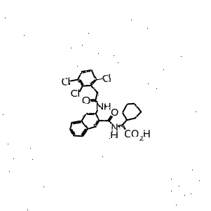 O=C(Cc1c(Cl)ccc(Cl)c1Cl)Nc1cc2ccccc2cc1C(=O)N[C@H](C(=O)O)C1CCCCC1